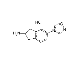 Cl.NC1Cc2ccc(-n3cnnc3)cc2C1